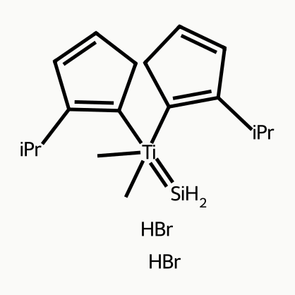 Br.Br.CC(C)C1=[C]([Ti]([CH3])([CH3])(=[SiH2])[C]2=C(C(C)C)C=CC2)CC=C1